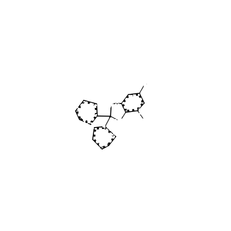 O=C(O)c1cc(Br)cc2c1OC(c1ccccc1)(c1ccccc1)O2